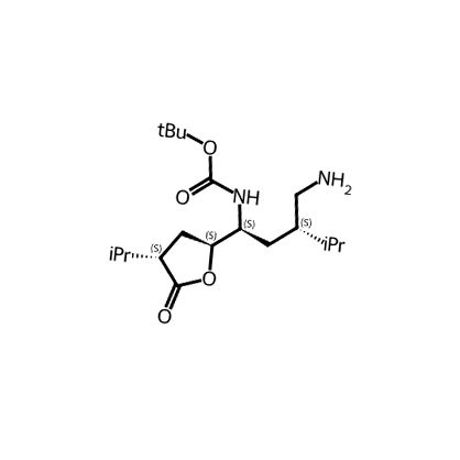 CC(C)[C@@H](CN)C[C@H](NC(=O)OC(C)(C)C)[C@@H]1C[C@@H](C(C)C)C(=O)O1